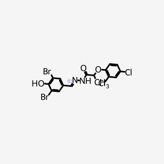 CC(Oc1ccc(Cl)cc1Cl)C(=O)N/N=C/c1cc(Br)c(O)c(Br)c1